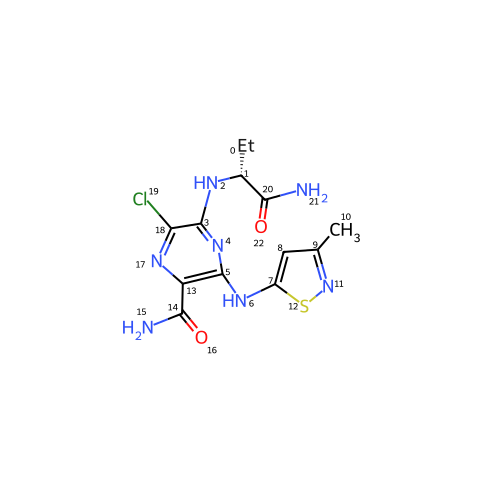 CC[C@@H](Nc1nc(Nc2cc(C)ns2)c(C(N)=O)nc1Cl)C(N)=O